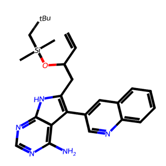 C=CC(Cc1[nH]c2ncnc(N)c2c1-c1cnc2ccccc2c1)O[Si](C)(C)CC(C)(C)C